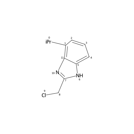 CC(C)c1cccc2[nH]c(CCl)nc12